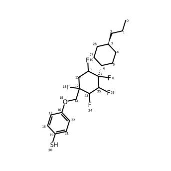 CCC[C@H]1CC[C@H](C2(F)C(F)[CH]C(F)(COc3ccc(S)cc3)C(F)C2F)CC1